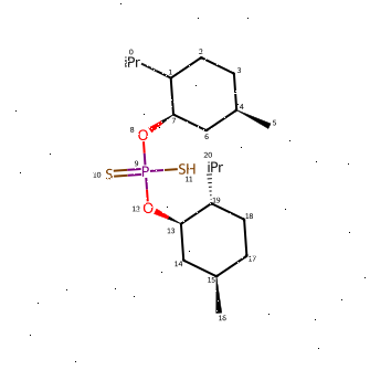 CC(C)C1CC[C@@H](C)C[C@H]1OP(=S)(S)O[C@@H]1C[C@H](C)CC[C@H]1C(C)C